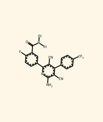 CCN(CC)C(=O)c1cc(-c2nc(N)c(C#N)c(-c3ccc(C(F)(F)F)cc3)c2C#N)ccc1F